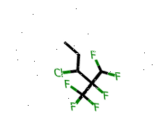 CCC(Cl)C(F)(C(F)F)C(F)(F)F